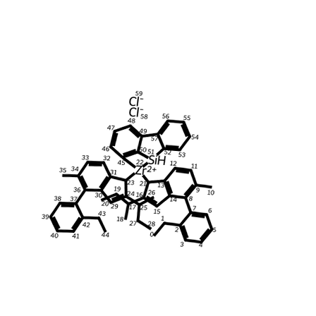 CCc1ccccc1-c1c(C)ccc2c1C=C(C(C)CC)[CH]2[Zr+2]1([CH]2C(C(C)CC)=Cc3c2ccc(C)c3-c2ccccc2CC)[c]2cccc3c2[SiH]1c1ccccc1-3.[Cl-].[Cl-]